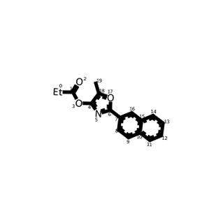 CCC(=O)Oc1nc(-c2ccc3ccccc3c2)oc1C